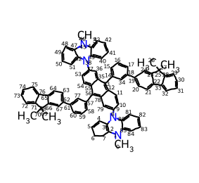 CN1C2=C(C=CCC2)N(c2ccc3c(-c4cccc(-c5ccc6c(c5)C(C)(C)c5ccccc5-6)c4)c4cc(N5c6ccccc6N(C)c6ccccc65)ccc4c(-c4cccc(-c5ccc6c(c5)C(C)(C)c5ccccc5-6)c4)c3c2)c2ccccc21